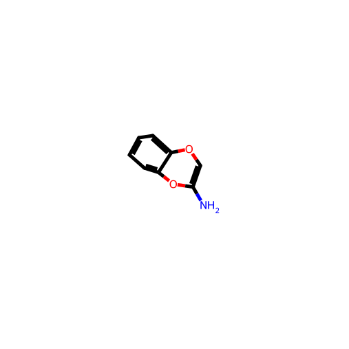 NC1=COc2ccccc2O1